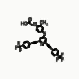 Cc1cc(Sc2cc(C#Cc3ccc(C(F)(F)F)cc3)nc(C#Cc3ccc(C(F)(F)F)cc3)c2)ccc1OCC(=O)O